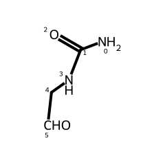 NC(=O)NCC=O